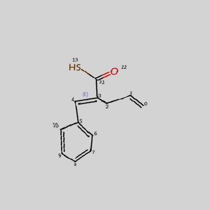 C=CC/C(=C\c1ccccc1)C(=O)S